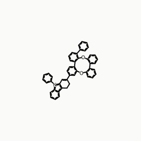 C1=C(c2ccc3c(c2)Oc2ccccc2-c2ccccc2Oc2c(-c4ccccc4)cccc2-3)CCc2c1n(-c1ccccc1)c1ccccc21